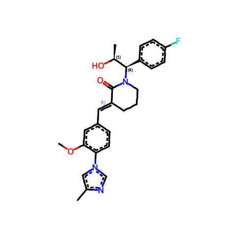 COc1cc(/C=C2\CCCN([C@H](c3ccc(F)cc3)[C@H](C)O)C2=O)ccc1-n1cnc(C)c1